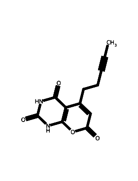 CC#CCCc1cc(=O)oc2[nH]c(=O)[nH]c(=O)c12